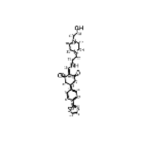 O=C1CC(c2ccc(-c3nccs3)cc2)CC(=O)C1=CNCCN1CCN(CCO)CC1